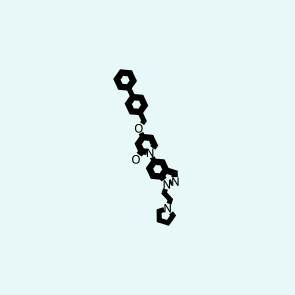 O=c1cc(OCc2ccc(-c3ccccc3)cc2)ccn1-c1ccc2c(cnn2CCN2CCCC2)c1